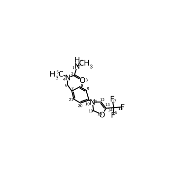 CNC(=O)N(C)Cc1ccc(N2C=C(C(F)(F)F)OC2)cc1